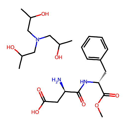 CC(O)CN(CC(C)O)CC(C)O.COC(=O)[C@@H](Cc1ccccc1)NC(=O)[C@H](N)CC(=O)O